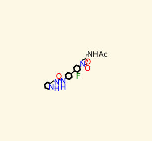 CC(=O)NC[C@H]1CN(c2ccc(-c3ccc(NC(=O)NCc4ccccn4)cc3)c(F)c2)C(=O)O1